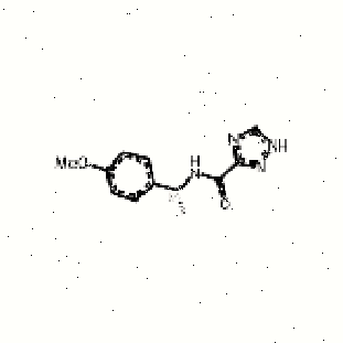 COc1ccc([C@@H](C)NC(=O)c2nc[nH]n2)cc1